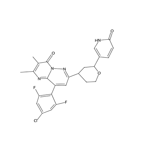 Cc1nc2c(-c3c(F)cc(Cl)cc3F)cc(C3CCOC(c4ccc(=O)[nH]c4)C3)nn2c(=O)c1C